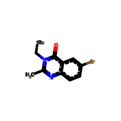 Cc1nc2ccc(Br)cc2c(=O)n1CC(C)(C)C